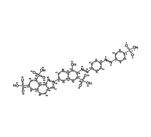 O=S(=O)(O)c1ccc(N=Nc2ccc(N=Nc3c(S(=O)(=O)O)cc4cc(-n5nc6ccc7cc(S(=O)(=O)O)cc(S(=O)(=O)O)c7c6n5)ccc4c3O)cc2)cc1